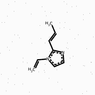 C=Cn1ccnc1/C=C/C